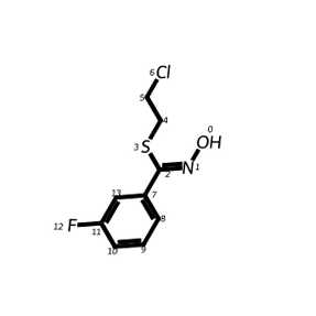 O/N=C(\SCCCl)c1cccc(F)c1